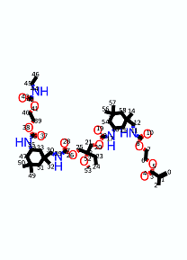 C=C(C)C(=O)OCCOC(=O)NCC1(C)CC(NC(=O)OCC(CC)(COC(=O)NCC2(C)CC(NC(=O)OCCOC(=O)NCC)CC(C)(C)C2)OC)CC(C)(C)C1